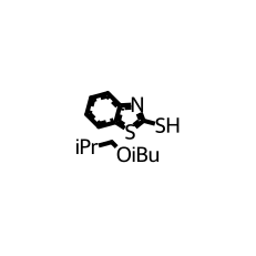 CC(C)COCC(C)C.Sc1nc2ccccc2s1